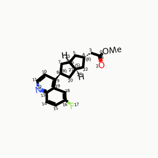 COC(=O)C[C@H]1C[C@@H]2C[C@H](c3ccnc4ccc(F)cc34)C[C@@H]2C1